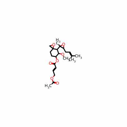 COC1C(OC(=O)C=CCOC(C)=O)CCC2(CO2)C1C1(C)OC1CC=C(C)C